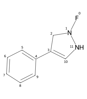 FN1CC(c2ccccc2)=CN1